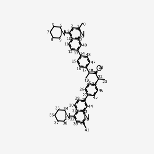 Cc1cc(N2CCCCC2)c2ccc(-c3ccc(C(C)C(=O)C(C)c4ccc(-c5ccc6c(N7CCCCC7)cc(C)nc6c5)cc4)cc3)cc2n1